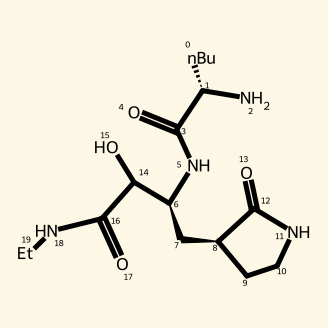 CCCC[C@H](N)C(=O)N[C@@H](C[C@@H]1CCNC1=O)C(O)C(=O)NCC